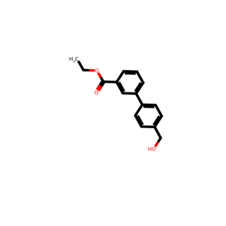 CCOC(=O)c1cccc(-c2ccc(CO)cc2)c1